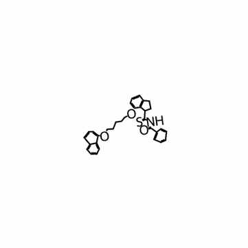 O=C(NC(=S)C1CCc2cccc(OCCCCCOc3cccc4ccccc34)c21)c1ccccc1